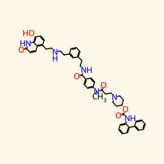 CN(C(=O)CCN1CCC(OC(=O)Nc2ccccc2-c2ccccc2)CC1)c1ccc(C(=O)NCCc2cccc(CCNCCc3ccc(O)c4[nH]c(=O)ccc34)c2)cc1